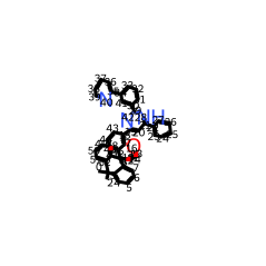 CC1(C)c2ccccc2C2(c3ccccc3Oc3c(C4=CC(c5ccccc5)NC(c5cccc(-c6ccccn6)c5)=N4)cccc32)c2ccccc21